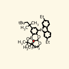 CCc1ccc2c3ccc(CC)cc3n(-c3cc(C(C)(C)CC(C)(C)C)cc(B4OC(C)(C)C(C)(C)O4)c3OC3CCCCO3)c2c1